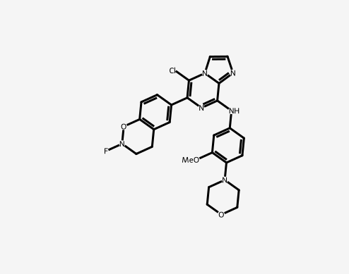 COc1cc(Nc2nc(-c3ccc4c(c3)CCN(F)O4)c(Cl)n3ccnc23)ccc1N1CCOCC1